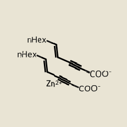 CCCCCCC=CC#CC(=O)[O-].CCCCCCC=CC#CC(=O)[O-].[Zn+2]